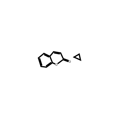 C1CC1.O=c1ccc2ccccc2o1